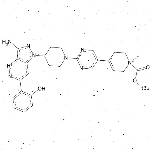 CC(C)(C)OC(=O)[N@@+]1(C)CC=C(c2cnc(N3CCC(n4nc(N)c5nnc(-c6ccccc6O)cc54)CC3)nc2)CC1